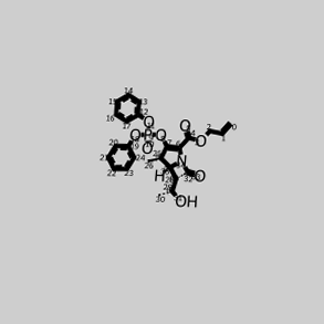 C=CCOC(=O)C1=C(OP(=O)(Oc2ccccc2)Oc2ccccc2)[C@H](C)[C@@H]2[C@@H]([C@@H](C)O)C(=O)N12